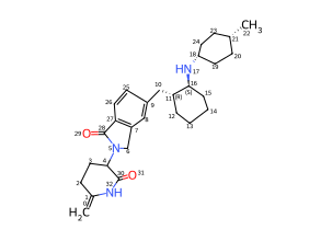 C=C1CCC(N2Cc3cc(C[C@H]4CCCC[C@@H]4N[C@H]4CC[C@@H](C)CC4)ccc3C2=O)C(=O)N1